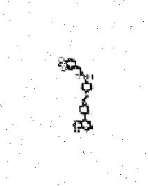 O=C(Cc1ccc2c(c1)OCO2)N[C@H]1CC[C@H](CCN2CCC(c3cccc4c3CCO4)CC2)CC1